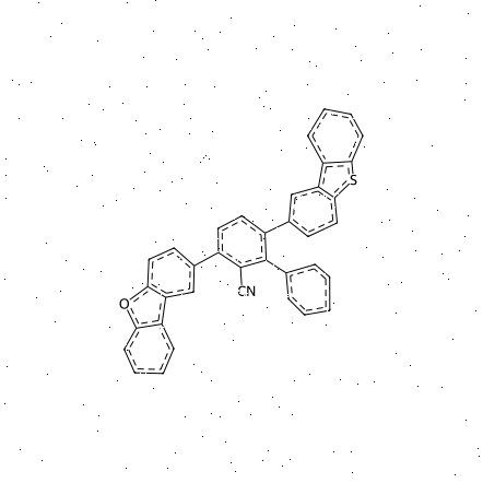 N#Cc1c(-c2ccc3oc4ccccc4c3c2)ccc(-c2ccc3sc4ccccc4c3c2)c1-c1ccccc1